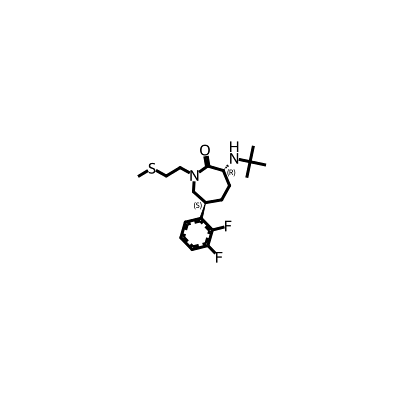 CSCCN1C[C@H](c2cccc(F)c2F)CC[C@@H](NC(C)(C)C)C1=O